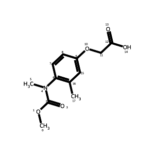 COC(=O)N(C)c1ccc(OCC(=O)O)cc1C